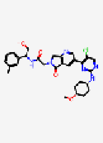 CO[C@H]1CC[C@H](Nc2ncc(Cl)c(-c3cnc4c(c3)C(=O)N(CC(=O)N[C@H](CO)c3cccc(C)c3)C4)n2)CC1